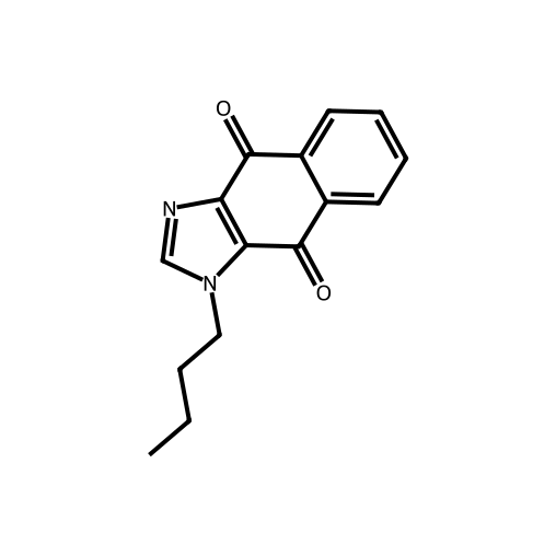 CCCCn1cnc2c1C(=O)c1ccccc1C2=O